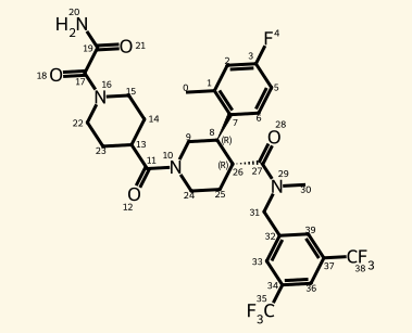 Cc1cc(F)ccc1[C@@H]1CN(C(=O)C2CCN(C(=O)C(N)=O)CC2)CC[C@H]1C(=O)N(C)Cc1cc(C(F)(F)F)cc(C(F)(F)F)c1